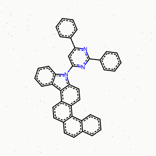 c1ccc(-c2cc(-n3c4ccccc4c4c5ccc6ccc7ccccc7c6c5ccc43)nc(-c3ccccc3)n2)cc1